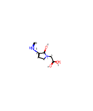 CNC1CCN(CC(=O)O)C1=O